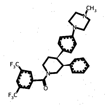 CN1CCN(c2ccc([C@@H]3CCN(C(=O)c4cc(C(F)(F)F)cc(C(F)(F)F)c4)C[C@@H]3c3ccccc3)cc2)CC1